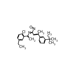 C=C(/N=C(\C=C(/C)c1cccc(C(C)(C)C)c1)N=O)c1cc(CC)ccc1Cl